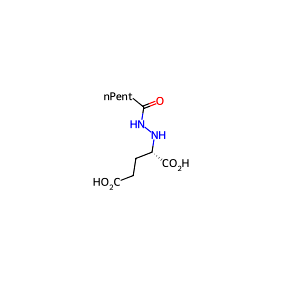 CCCCCC(=O)NN[C@@H](CCC(=O)O)C(=O)O